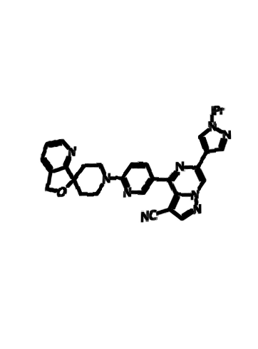 CC(C)n1cc(-c2cn3ncc(C#N)c3c(-c3ccc(N4CCC5(CC4)OCc4cccnc45)nc3)n2)cn1